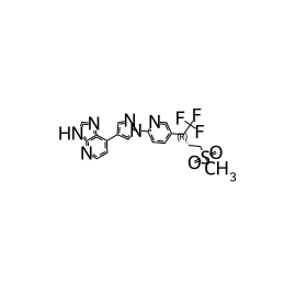 CS(=O)(=O)CC[C@H](c1ccc(-n2cc(-c3ccnc4[nH]cnc34)cn2)nc1)C(F)(F)F